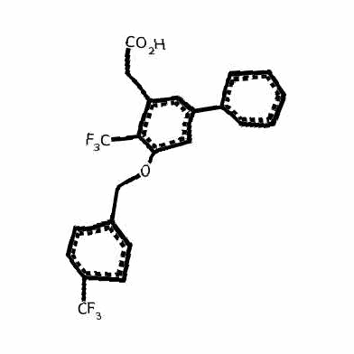 O=C(O)Cc1cc(-c2ccccc2)cc(OCc2ccc(C(F)(F)F)cc2)c1C(F)(F)F